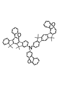 CC1(C)c2cc(N(c3ccc4c(c3)C(C)(C)c3c5c(c6c(oc7ccccc76)c3-4)-c3ccccc3C5(C)C)c3ccc4oc5ccccc5c4c3)ccc2-c2cc3c(cc21)-c1c(ccc2oc4ccccc4c12)C3(C)C